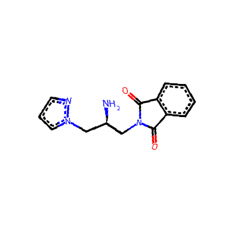 N[C@@H](CN1C(=O)c2ccccc2C1=O)Cn1cccn1